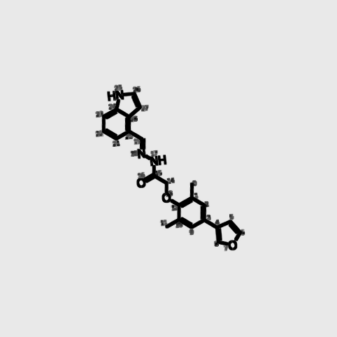 Cc1cc(-c2ccoc2)cc(C)c1OCC(=O)N/N=C/c1cccc2[nH]ccc12